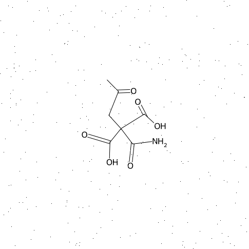 CC(=O)CC(C(N)=O)(C(=O)O)C(=O)O